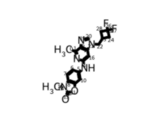 Cc1nc(Nc2ccc3c(c2)oc(=O)n3C)cc2c1ncn2CC1CC(F)(F)C1